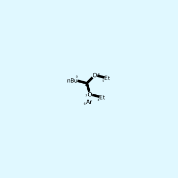 CCCCC(OCC)OCC.[Ar]